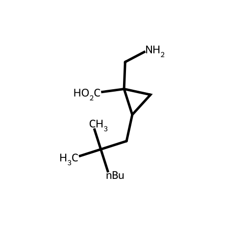 CCCCC(C)(C)CC1CC1(CN)C(=O)O